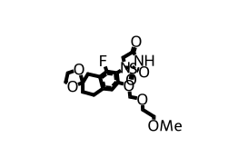 COCCOCOc1cc2c(c(F)c1N1CC(=O)NS1(=O)=O)CC1(CC2)OCCO1